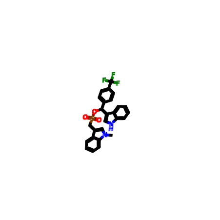 Cn1cc(CS(=O)(=O)OC(c2ccc(C(F)(F)F)cc2)c2c[nH]c3ccccc23)c2ccccc21